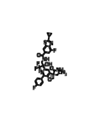 CC[C@@]1(C(N)=O)COc2c1cc([C@@](O)(CNC(=O)c1cc(F)c3nc(C4CC4)sc3c1)C(F)(F)F)nc2-c1ccc(F)cc1